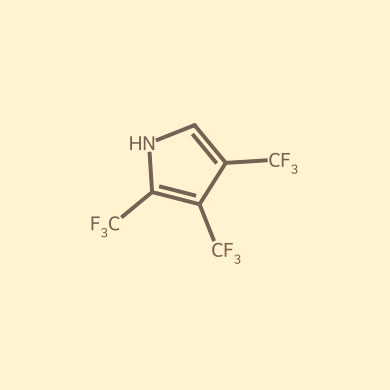 FC(F)(F)c1c[nH]c(C(F)(F)F)c1C(F)(F)F